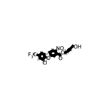 O=C(OCC#CCO)c1cc(Oc2ccc(C(F)(F)F)cc2Cl)ccc1[N+](=O)[O-]